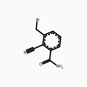 N#Cc1c(CBr)cccc1C(N)=O